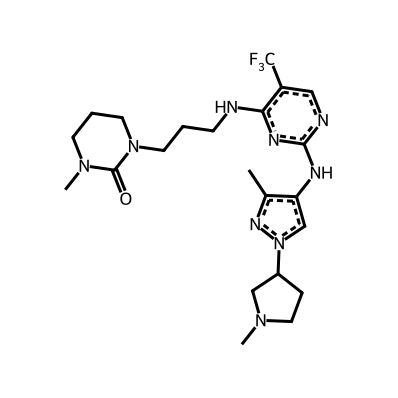 Cc1nn(C2CCN(C)C2)cc1Nc1ncc(C(F)(F)F)c(NCCCN2CCCN(C)C2=O)n1